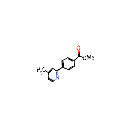 COC(=O)c1ccc(-c2cc(C)ccn2)cc1